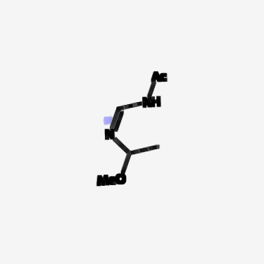 COC(C)/N=C\NC(C)=O